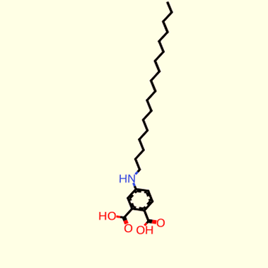 CCCCCCCCCCCCCCCCCCNc1ccc(C(=O)O)c(C(=O)O)c1